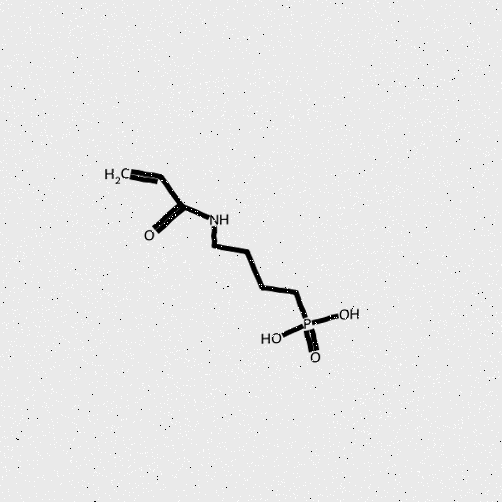 C=CC(=O)NCCCCP(=O)(O)O